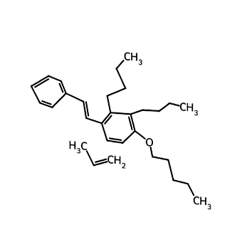 C=CC.CCCCCOc1ccc(C=Cc2ccccc2)c(CCCC)c1CCCC